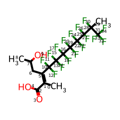 CC(C(=O)O)=C(CC(C)O)C(F)(F)C(F)(F)C(F)(F)C(F)(F)C(F)(F)C(F)(F)C(C)(F)C(F)(F)F